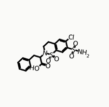 NS(=O)(=O)c1cc2c(cc1Cl)CCN(C(Cc1ccccc1)C(=O)O)S2(=O)=O